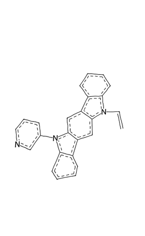 C=Cn1c2ccccc2c2cc3c(cc21)c1ccccc1n3-c1cccnc1